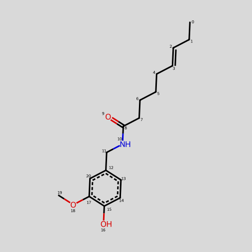 CCC=CCCCCC(=O)NCc1ccc(O)c(OC)c1